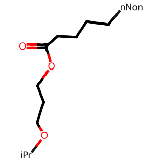 CCCCCCCCCCCCCC(=O)OCCCOC(C)C